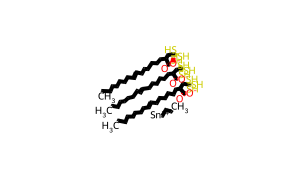 CCCCCCCCC=CCCCCCCC(CC(S)(S)S)C(=O)[O-].CCCCCCCCC=CCCCCCCC(CC(S)(S)S)C(=O)[O-].CCCCCCCCC=CCCCCCCC(CC(S)(S)S)C(=O)[O-].CCC[CH2][Sn+3]